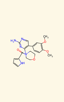 COc1ccc(-c2cnc(N)nc2[N+]2(C(=O)c3ccc[nH]3)CCOCC2)cc1OC